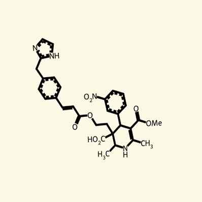 COC(=O)C1=C(C)NC(C)C(CCOC(=O)C=Cc2ccc(Cc3ncc[nH]3)cc2)(C(=O)O)C1c1cccc([N+](=O)[O-])c1